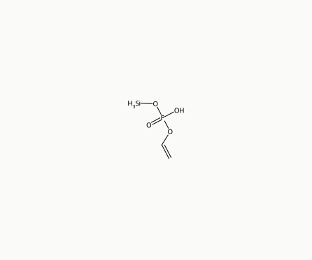 C=COP(=O)(O)O[SiH3]